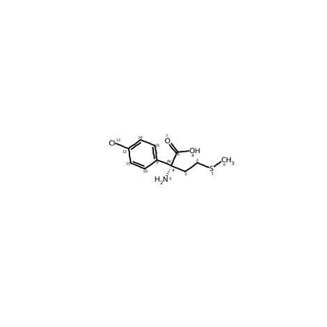 CSCC[C@](N)(C(=O)O)c1ccc(Cl)cc1